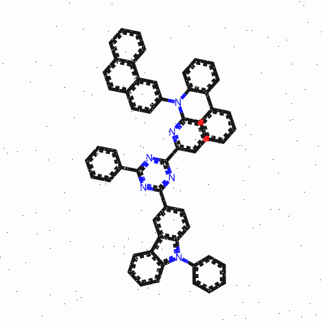 c1ccc(-c2nc(-c3ccc4c(c3)c3ccccc3n4-c3ccccc3)nc(-c3cccc(N(c4ccc5ccc6ccccc6c5c4)c4ccccc4-c4ccccc4)n3)n2)cc1